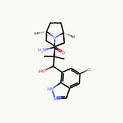 CC(C)(C(O)c1cc(Cl)cc2cn[nH]c12)[C@H]1C[C@H]2CC[C@@H](C1)N2C(N)=O